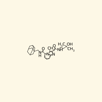 Cc1c(C(=O)NCCC(C)(C)O)nc2cccc(C(=O)NCC34CC5CC(CC(C5)C3)C4)n12